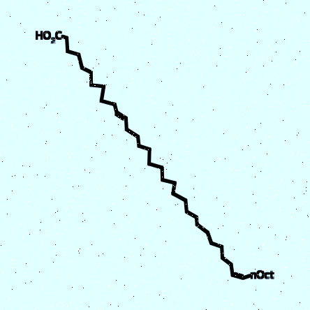 CCCCCCCC/C=C\CCCCCCCCCCCCCCCCCCC=CCCCCCCCCCC(=O)O